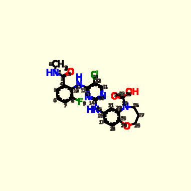 CNC(=O)c1cccc(F)c1Nc1nc(Nc2ccc3c(c2)N(C(=O)O)CCCO3)ncc1Cl